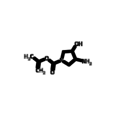 C=C(C)OC(=O)N1CC(N)C(O)C1